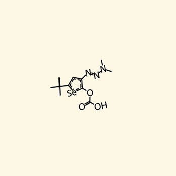 CN(C)N=Nc1cc(C(C)(C)C)[se]c1OC(=O)O